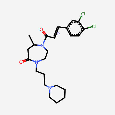 CC1CC(=O)N(CCCN2CCCCC2)CCN1C(=O)/C=C/c1ccc(Cl)c(Cl)c1